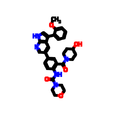 COc1ccccc1-c1c[nH]c2ncc(-c3ccc(NC(=O)N4CCOCC4)c(C(=O)N4CCC(O)CC4)c3)cc12